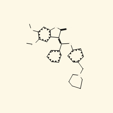 COc1cc2c(cc1OC)/C(=C(/Nc1ccc(CN3CCCCC3)cc1)c1ccccc1)C(=O)N2